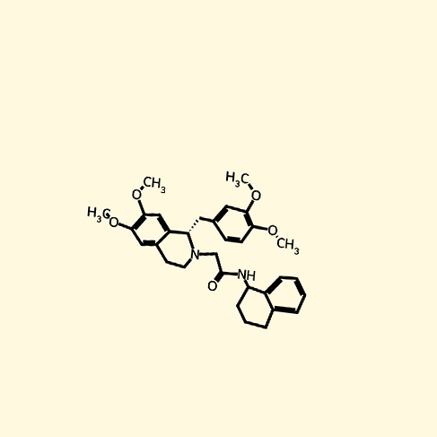 COc1ccc(C[C@H]2c3cc(OC)c(OC)cc3CCN2CC(=O)NC2CCCc3ccccc32)cc1OC